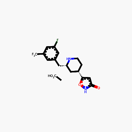 CC(=O)O.O=c1cc([C@H]2CCN[C@@H](Cc3cc(F)cc(C(F)(F)F)c3)C2)o[nH]1